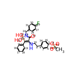 CS(=O)(=O)Oc1ccc(CCNC2=C(c3ccccc3)S(O)(O)N(Cc3ccc(F)cc3)C2=O)cc1